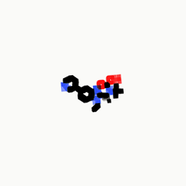 CCn1c([C@@H](C)N(C(=O)O)C(C)(C)C)nc2cc(-c3cccnc3)ccc21